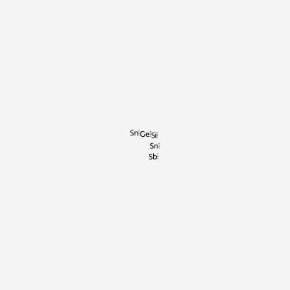 [Ge].[Sb].[Si].[Sn].[Sn]